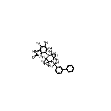 [2H]c1c([2H])c(N2C([2H])([2H])C([2H])([2H])N(C([2H])([2H])c3cccc(-c4ccccc4)c3)C([2H])([2H])C2([2H])[2H])c2oc(=O)[nH]c2c1[2H]